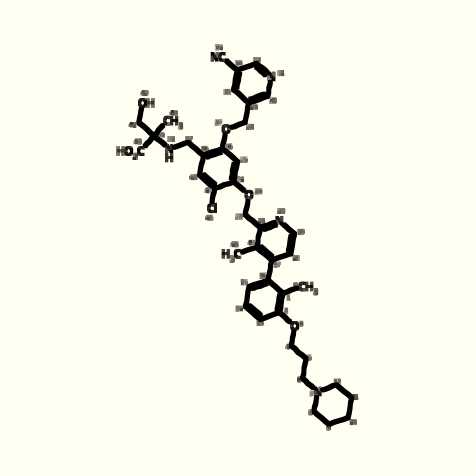 Cc1c(OCCCN2CCCCC2)cccc1-c1ccnc(COc2cc(OCc3cncc(C#N)c3)c(CNC(C)(CO)C(=O)O)cc2Cl)c1C